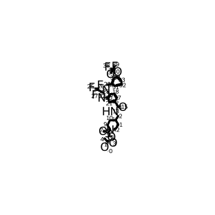 COC(=O)CS(=O)(=O)N1CCC(CNC(=O)c2ccc3c(c2)nc(C(F)(F)F)n3Cc2cccc3c2OC(F)(F)O3)CC1